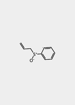 C=CC[S+]([O-])c1[c]cccc1